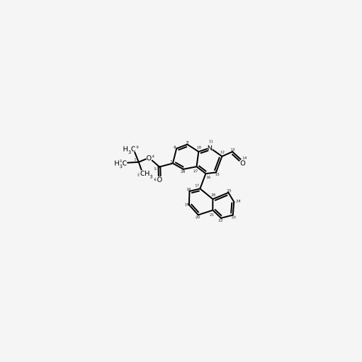 CC(C)(C)OC(=O)c1ccc2nc(C=O)cc(-c3cccc4ccccc34)c2c1